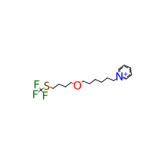 FC(F)(F)SCCCCOCCCCCC[n+]1ccccc1